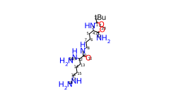 CC(C)(C)C(=O)NC(CCCCNC(=O)C(CCCCNN)NN)C(N)=O